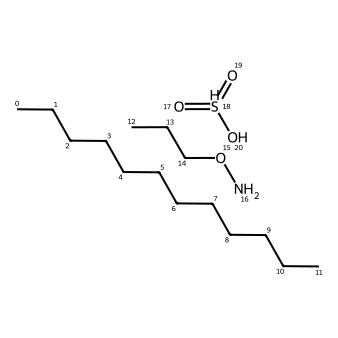 CCCCCCCCCCCC.CCCON.O=[SH](=O)O